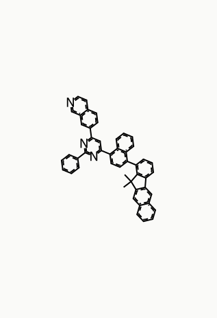 CC1(C)c2cc3ccccc3cc2-c2cccc(-c3ccc(-c4cc(-c5ccc6ccncc6c5)nc(-c5ccccc5)n4)c4ccccc34)c21